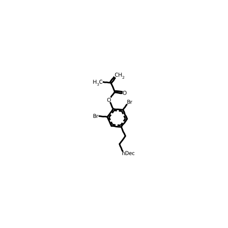 C=C(C)C(=O)Oc1c(Br)cc(CCCCCCCCCCCC)cc1Br